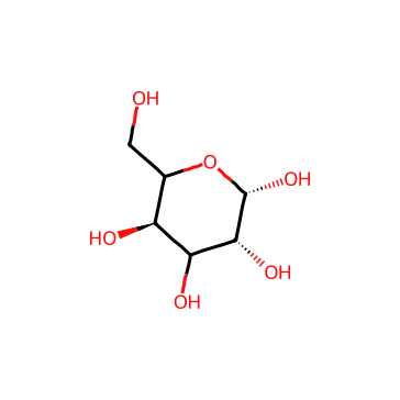 OCC1O[C@H](O)[C@H](O)C(O)[C@H]1O